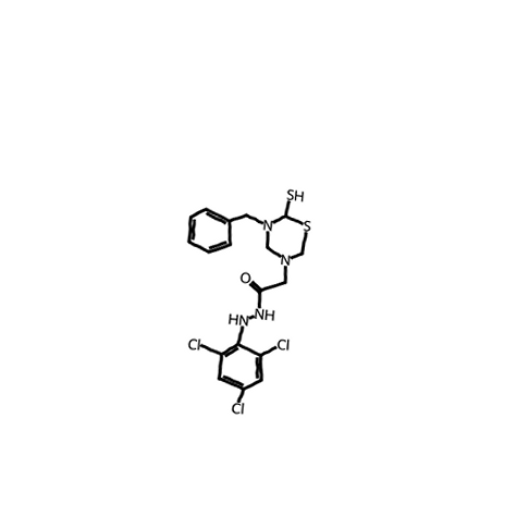 O=C(CN1CSC(S)N(Cc2ccccc2)C1)NNc1c(Cl)cc(Cl)cc1Cl